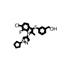 Cc1c(Sc2cccc(CO)c2)c2ccc(Cl)c(F)c2n1-c1cnn(C2CCCC2)c1